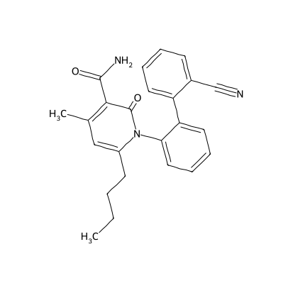 CCCCc1cc(C)c(C(N)=O)c(=O)n1-c1ccccc1-c1ccccc1C#N